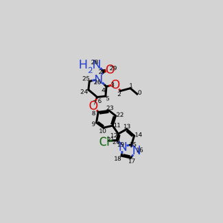 CCCOC1CC(Oc2ccc(-c3ccc4nccn4c3Cl)cc2)CCN1C(N)=O